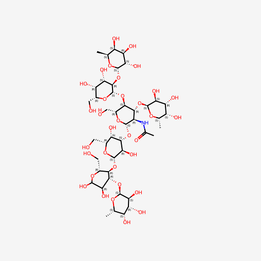 CC(=O)N[C@H]1[C@H](O[C@H]2[C@@H](O)[C@@H](CO)O[C@@H](O[C@H]3[C@H](O[C@@H]4O[C@@H](C)[C@@H](O)[C@@H](O)[C@@H]4O)[C@@H](O)C(O)O[C@@H]3CO)[C@@H]2O)O[C@H](CO)[C@@H](O[C@@H]2O[C@H](CO)[C@H](O)[C@H](O)[C@H]2O[C@@H]2O[C@@H](C)[C@@H](O)[C@@H](O)[C@@H]2O)[C@@H]1O[C@@H]1O[C@@H](C)[C@@H](O)[C@@H](O)[C@@H]1O